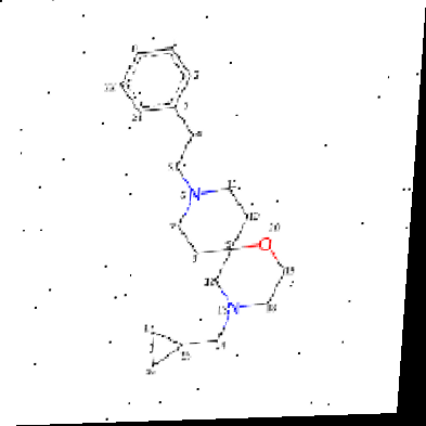 c1ccc(CCN2CCC3(CC2)CN(CC2CC2)CCO3)cc1